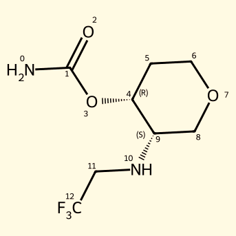 NC(=O)O[C@@H]1CCOC[C@@H]1NCC(F)(F)F